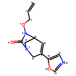 C=CCON1C(=O)N2CC(c3cnco3)=CC1C2